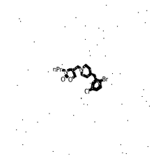 CCCN1CC(CN2CCC(Cc3cc(Cl)ccc3Br)CC2)COC1=O